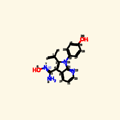 C=C(C)c1c(/C(N)=N/O)c2cccnc2n1-c1ccc(O)cc1